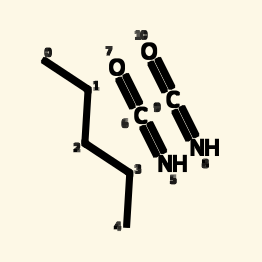 CCCCC.N=C=O.N=C=O